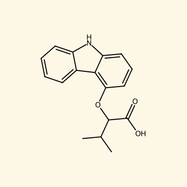 CC(C)C(Oc1cccc2[nH]c3ccccc3c12)C(=O)O